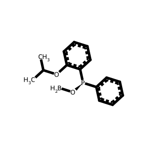 BO[P@](c1ccccc1)c1ccccc1OC(C)C